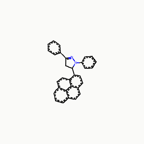 c1ccc(C2=NN(c3ccccc3)C(c3ccc4ccc5cccc6ccc3c4c56)C2)cc1